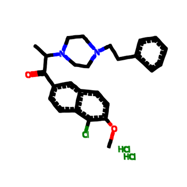 COc1ccc2cc(C(=O)C(C)N3CCN(CCc4ccccc4)CC3)ccc2c1Cl.Cl.Cl